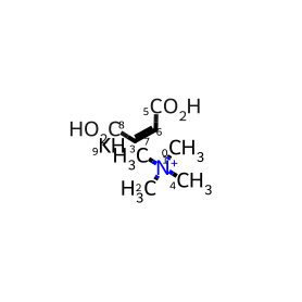 C[N+](C)(C)C.O=C(O)/C=C\C(=O)O.[KH]